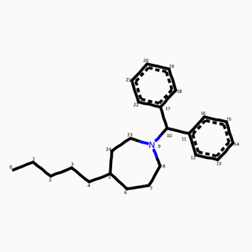 CCCCCC1CCCN(C(c2ccccc2)c2ccccc2)CC1